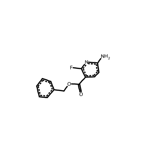 Nc1ccc(C(=O)OCc2ccccc2)c(F)n1